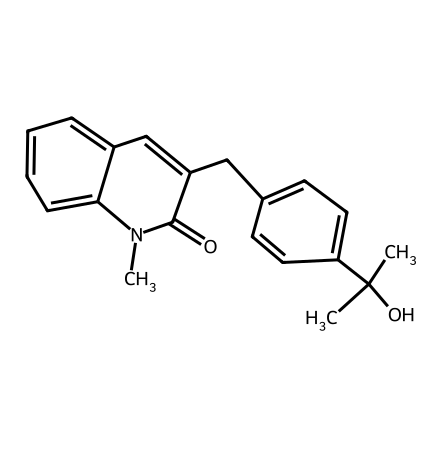 Cn1c(=O)c(Cc2ccc(C(C)(C)O)cc2)cc2ccccc21